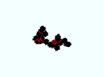 c1ccc(-c2cc(-c3ccc(-c4ccc5cc(-c6ccccc6N(c6ccc(-c7cccc8c7sc7ccccc78)cc6)c6ccccc6-c6cccc7ccccc67)c6ccccc6c5c4)cc3)cc(N(c3ccccc3-c3cccc4ccccc34)c3ccccc3-c3cc4ccccc4c4ccccc34)c2)cc1